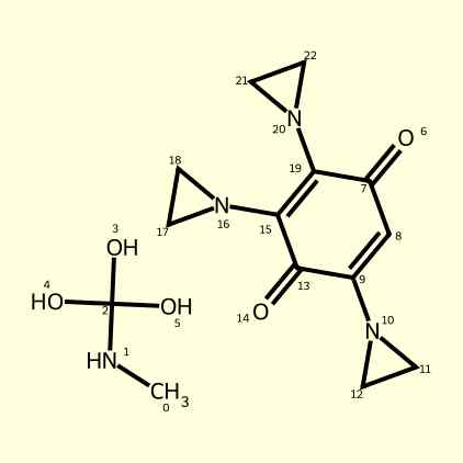 CNC(O)(O)O.O=C1C=C(N2CC2)C(=O)C(N2CC2)=C1N1CC1